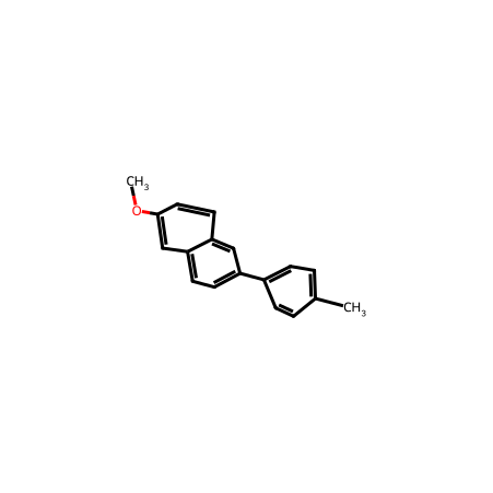 COc1ccc2cc(-c3ccc(C)cc3)ccc2c1